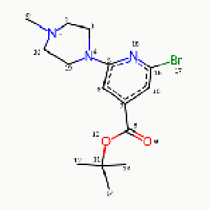 CN1CCN(c2cc(C(=O)OC(C)(C)C)cc(Br)n2)CC1